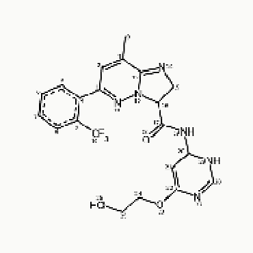 CC1=CC(c2ccccc2C(F)(F)F)=NN2C1=NCC2C(=O)NC1C=C(OCCO)N=CN1